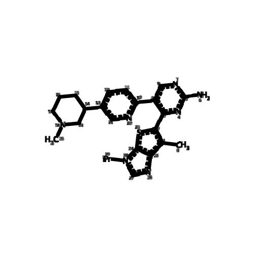 Cc1c(-c2nc(N)ncc2-c2ccc(C3CCCN(C)C3)cn2)sc2c1ncn2C(C)C